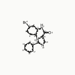 O=c1[nH]c2cc(Br)ccc2n2c(-c3ccccc3)ncc12